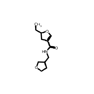 CCC1CC(C(=O)NCC2CCOC2)=CO1